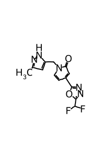 Cc1cc(Cn2ccc(-c3nnc(C(F)F)o3)cc2=O)[nH]n1